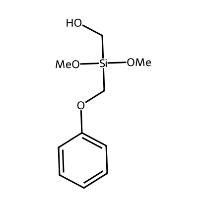 CO[Si](CO)(COc1ccccc1)OC